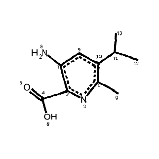 Cc1nc(C(=O)O)c(N)cc1C(C)C